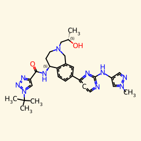 C[C@H](O)CN1CC[C@H](NC(=O)c2cn(C(C)(C)C)nn2)c2ccc(-c3ccnc(Nc4cnn(C)c4)n3)cc2C1